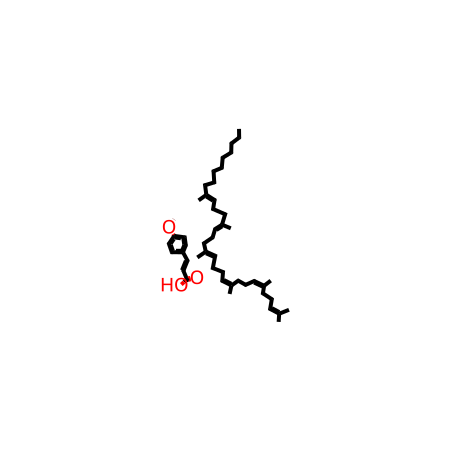 CCCCCCCCCC(C)=CCCC(C)=CCCC(C)=CCCC=C(C)CCC=C(C)CCC=C(C)C.COc1ccc(C=CC(=O)O)cc1